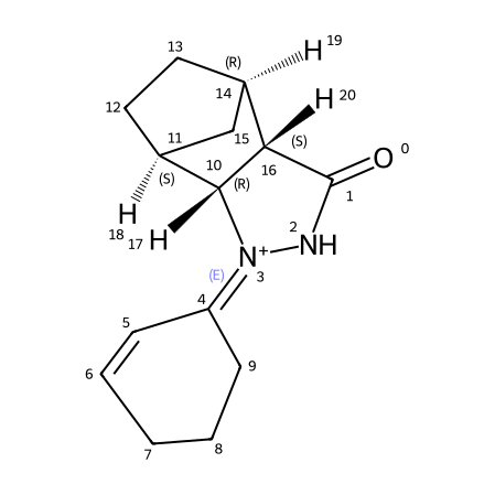 O=C1N/[N+](=C2/C=CCCC2)[C@@H]2[C@H]3CC[C@H](C3)[C@H]12